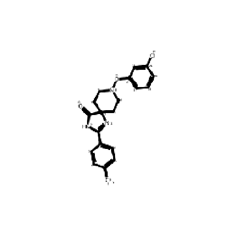 O=C1NC(c2ccc(C(F)(F)F)cc2)=NC12CCN(Oc1cccc(Cl)c1)CC2